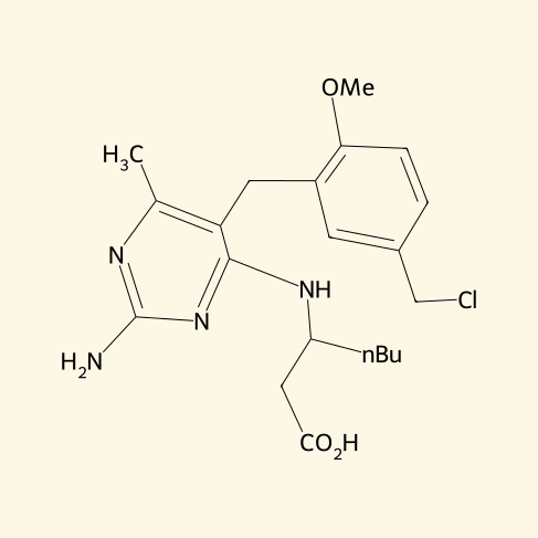 CCCCC(CC(=O)O)Nc1nc(N)nc(C)c1Cc1cc(CCl)ccc1OC